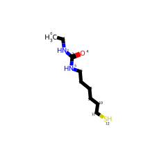 CCNC(=O)NCCCCCCS